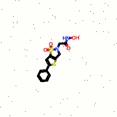 O=C(CN1Cc2sc(-c3ccccc3)cc2S1(=O)=O)NO